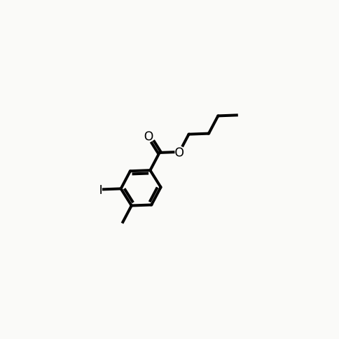 CCCCOC(=O)c1ccc(C)c(I)c1